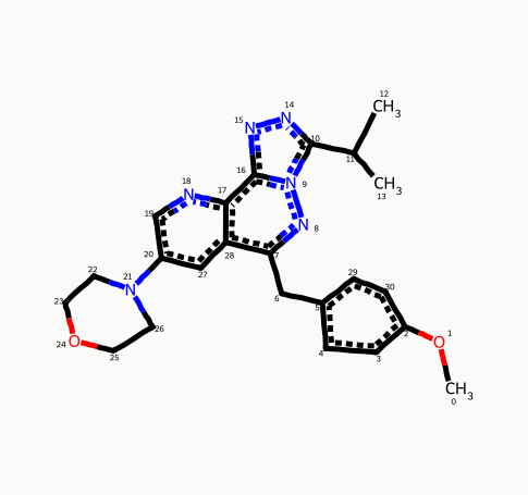 COc1ccc(Cc2nn3c(C(C)C)nnc3c3ncc(N4CCOCC4)cc23)cc1